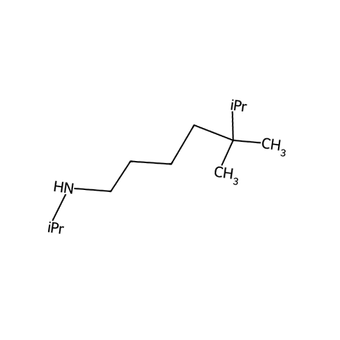 CC(C)NCCCCC(C)(C)C(C)C